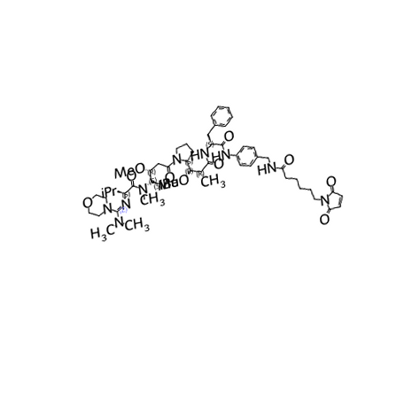 CC[C@H](C)[C@@H]([C@@H](CC(=O)N1CCC[C@H]1[C@H](OC)[C@@H](C)C(=O)N[C@@H](Cc1ccccc1)C(=O)Nc1ccc(CNC(=O)CCCCCN2C(=O)C=CC2=O)cc1)OC)N(C)C(=O)[C@@H](/N=C(/N(C)C)N1CCOCC1)C(C)C